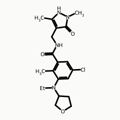 CCN(c1cc(Cl)cc(C(=O)NCc2c(C)[nH]n(C)c2=O)c1C)C1CCOC1